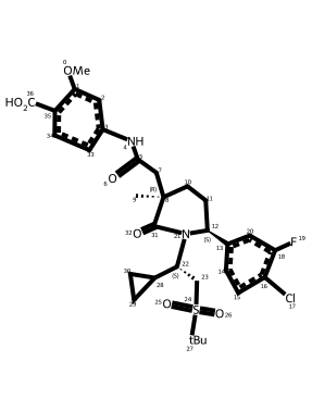 COc1cc(NC(=O)C[C@@]2(C)CC[C@@H](c3ccc(Cl)c(F)c3)N([C@H](CS(=O)(=O)C(C)(C)C)C3CC3)C2=O)ccc1C(=O)O